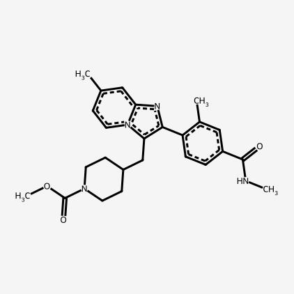 CNC(=O)c1ccc(-c2nc3cc(C)ccn3c2CC2CCN(C(=O)OC)CC2)c(C)c1